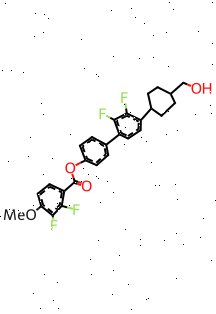 COc1ccc(C(=O)Oc2ccc(-c3ccc(C4CCC(CO)CC4)c(F)c3F)cc2)c(F)c1F